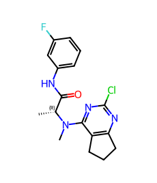 C[C@H](C(=O)Nc1cccc(F)c1)N(C)c1nc(Cl)nc2c1CCC2